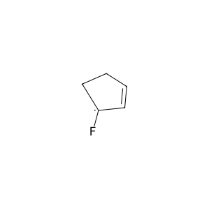 F[C]1C=CCC1